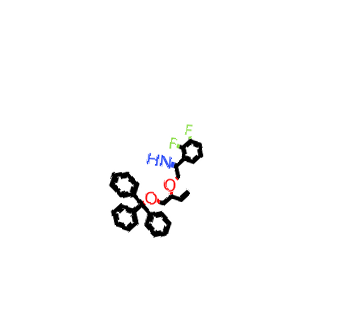 C=CC(COC(c1ccccc1)(c1ccccc1)c1ccccc1)OCC(=N)c1cccc(F)c1F